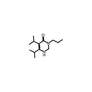 CCCN1CNC(C(C)C)=C(C(C)C)C1=O